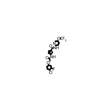 O=C(COc1ccc(Cl)c(F)c1)NC12CCC(C(=O)Nc3ccc(OC(F)(F)F)cn3)(C1)C2